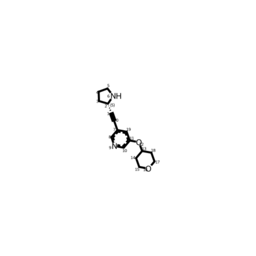 C(#C[C@@H]1CCCN1)c1cncc(OC2CCOCC2)c1